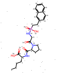 CCCC[C@H](NC(=O)[C@@H]1CCCN1C(=O)CNP(=O)(O)CCc1ccc2ccccc2c1)C(=O)O